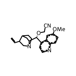 C=CC1CN2CCC1CC2[C@H](OCC#N)c1ccnc2ccc(OC)cc12